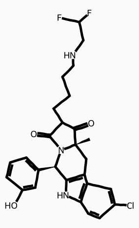 C[C@@]12Cc3c([nH]c4ccc(Cl)cc34)[C@@H](c3cccc(O)c3)N1C(=O)C(CCCCNCC(F)F)C2=O